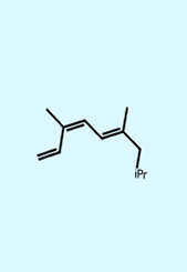 C=C/C(C)=C\C=C(/C)CC(C)C